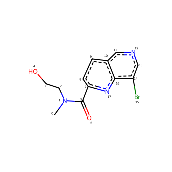 CN(CCO)C(=O)c1ccc2cncc(Br)c2n1